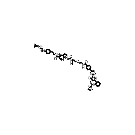 O=C(Cn1ccc2cc(C(=O)NCCc3ccc(NCCNC4CC4)cc3)cnc21)NCCOCCNC(=O)c1ccc(-c2csc(N3N=C(c4ccccc4)/C(=N\Nc4nccs4)C3=O)n2)cc1